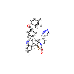 C=C[C@@H](CN)[C@H]1CCN2C(=O)S[C@@H](c3cc(-c4ccc(Oc5ccccc5)cc4)nc4ccc(C)cc34)[C@@H]2C1